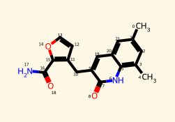 Cc1cc(C)c2[nH]c(=O)c(Cc3ccoc3C(N)=O)cc2c1